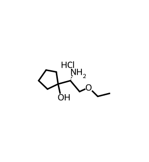 CCOC[C@@H](N)C1(O)CCCC1.Cl